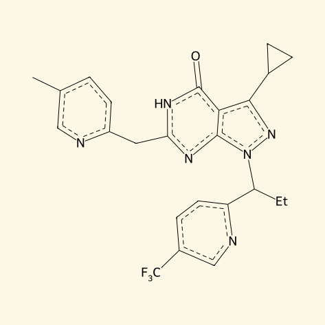 CCC(c1ccc(C(F)(F)F)cn1)n1nc(C2CC2)c2c(=O)[nH]c(Cc3ccc(C)cn3)nc21